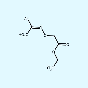 CC(=O)C(=NOCC(=O)OCC(Cl)(Cl)Cl)C(=O)O